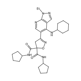 CCn1ncc2c(NC3CCCCC3)c(C3=NOC(C(=O)NC4CCCC4)(C(=O)NC4CCCC4)C3)cnc21